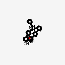 C[C@@H]1CC2(c3ccc(-c4ccccc4-c4nc(-c5ccccc5)nc(-c5ccc6c(c5)oc5cc(C#N)ccc56)n4)cc3)CCCC1CC2